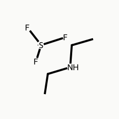 CCNCC.F[S](F)F